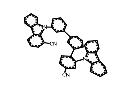 N#Cc1ccc(-c2cccc(-c3cccc(-n4c5ccccc5c5cccc(C#N)c54)c3)c2)c(-n2c3ccccc3c3ccccc32)c1